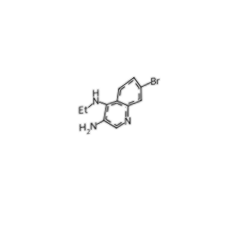 CCNc1c(N)cnc2cc(Br)ccc12